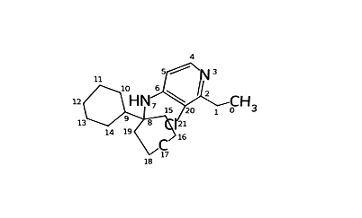 CCc1nccc(NC2(C3CCCCC3)CCCCC2)c1Cl